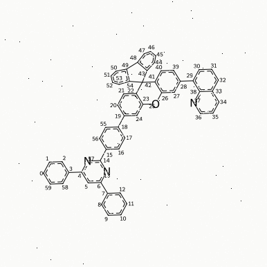 c1ccc(-c2cc(-c3ccccc3)nc(-c3ccc(-c4ccc5c(c4)Oc4cc(-c6cccc7cccnc67)ccc4C54c5ccccc5-c5ccccc54)cc3)n2)cc1